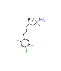 CC(CCCc1cc(F)c(F)c(F)c1F)CC(C)(N)C(=O)O